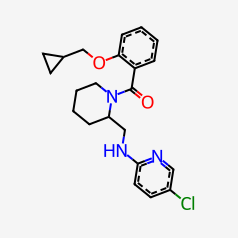 O=C(c1ccccc1OCC1CC1)N1CCCCC1CNc1ccc(Cl)cn1